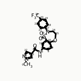 Cn1cc(C(=O)Nc2ccc3c(c2)S(=O)(=O)N(c2ccc(C(F)(F)F)cc2)CCO3)cn1